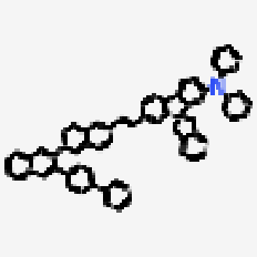 C(=C\c1ccc2cc(-c3cc4ccccc4cc3-c3ccc(-c4ccccc4)cc3)ccc2c1)/c1ccc2c(c1)C1(Cc3ccccc3C1)c1cc(N(c3ccccc3)c3ccccc3)ccc1-2